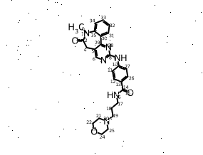 CN1C(=O)Cc2cnc(Nc3ccc(C(=O)NCCCN4CCOCC4)cc3)nc2-c2ccccc21